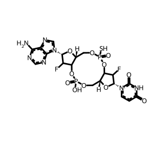 Nc1ncnc2c1ncn2[C@@H]1O[C@@H]2COP(=O)(S)OC3C(F)[C@H](n4ccc(=O)[nH]c4=O)O[C@@H]3COP(=O)(O)OC2C1F